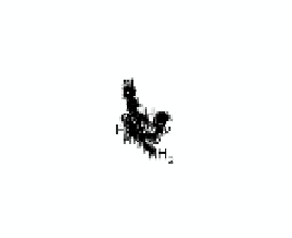 C[C@H](NC(=O)[C@@H](NC(=O)[C@H](CCN)NC(=O)c1ccc(-c2ccc(Cl)cc2)cc1)[C@@H](C)O)C(=O)N[C@@H](CCCCN)C(=O)N[C@@H](C)C(=O)C1OC1Cc1ccccc1